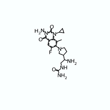 Cc1c(N2CCC(C(N)CNC(N)=O)C2)c(F)cc2c(=O)n(N)c(=O)n(C3CC3)c12